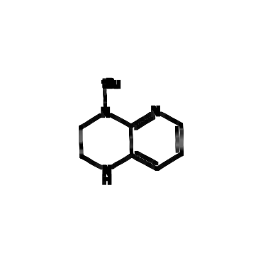 CC(C)(C)N1CCNc2cccnc21